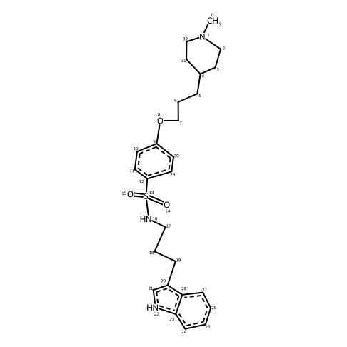 CN1CCC(CCCOc2ccc(S(=O)(=O)NCCCc3c[nH]c4ccccc34)cc2)CC1